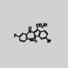 CCOC(=O)c1c(Nc2cc(F)ccc2[N+](=O)[O-])sc2cc(Br)ccc12